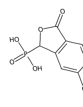 O=C1OC(P(=O)(O)O)c2cc(Cl)ccc21